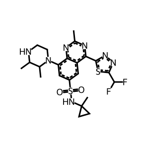 Cc1nc(-c2nnc(C(F)F)s2)c2cc(S(=O)(=O)NC3(C)CC3)cc(N3CCNC(C)C3C)c2n1